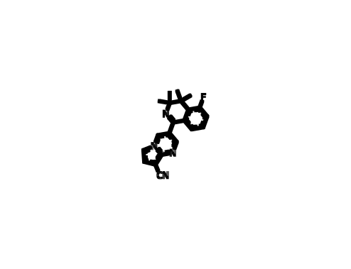 CC1(C)N=C(c2cnc3c(C#N)ccn3c2)c2cccc(F)c2C1(C)C